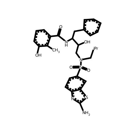 Cc1c(O)cccc1C(=O)NC(Cc1ccccc1)C(O)CN(CC(C)C)S(=O)(=O)c1ccc2nc(N)sc2c1